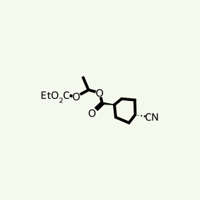 CCOC(=O)OC(C)OC(=O)[C@H]1CC[C@H](C#N)CC1